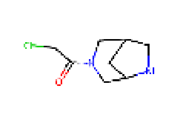 O=C(CCl)N1CC2CNC(C2)C1